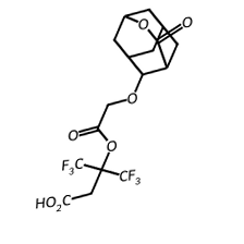 O=C(O)CC(OC(=O)COC1C2CC3CC(C2)OC(=O)C1C3)(C(F)(F)F)C(F)(F)F